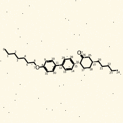 CCCCCCCOc1ccc(-c2ccc([C@H]3CC[C@H](CCCCC)CC3=O)cc2)cc1